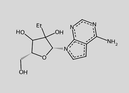 CCC1(O)C(O)[C@@H](CO)O[C@H]1n1ccc2c(N)ncnc21